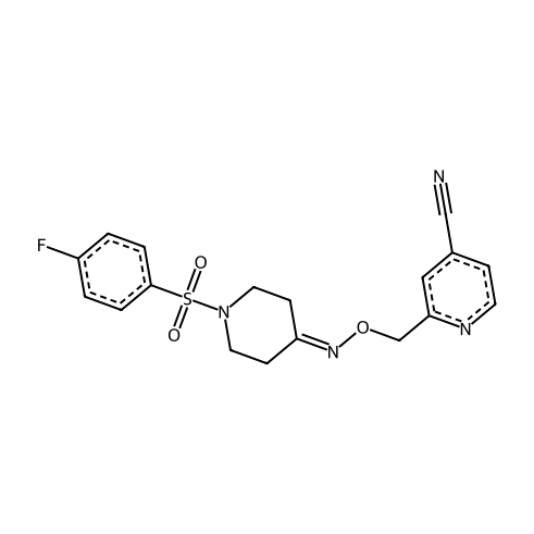 N#Cc1ccnc(CON=C2CCN(S(=O)(=O)c3ccc(F)cc3)CC2)c1